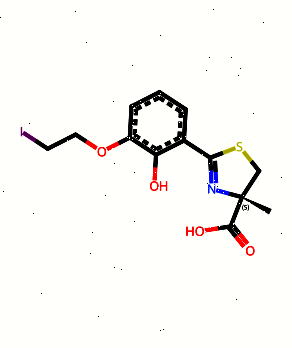 C[C@]1(C(=O)O)CSC(c2cccc(OCCI)c2O)=N1